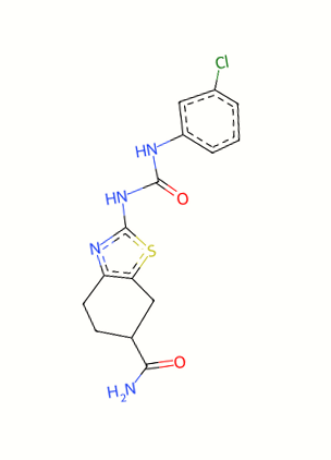 NC(=O)C1CCc2nc(NC(=O)Nc3cccc(Cl)c3)sc2C1